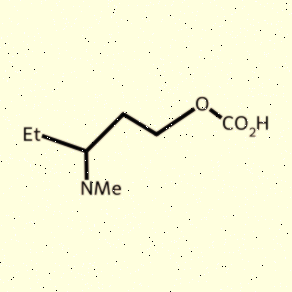 CCC(CCOC(=O)O)NC